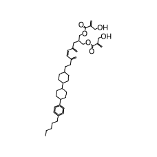 C=C(/C=C\C(=C)CC(COC(=O)C(=C)CO)COC(=O)C(=C)CO)CCC1CCC(C2CCC(c3ccc(CCCCC)cc3)CC2)CC1